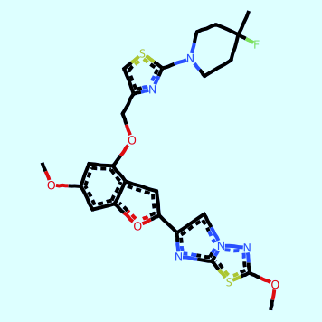 COc1cc(OCc2csc(N3CCC(C)(F)CC3)n2)c2cc(-c3cn4nc(OC)sc4n3)oc2c1